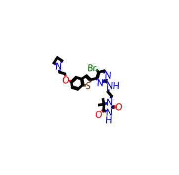 CC1(C)C(=O)NC(=O)N1CCNc1ncc(Br)c(-c2cc3cc(OCCN4CCC4)ccc3s2)n1